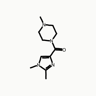 Cc1nc(C(=O)N2CCN(C)CC2)cn1C